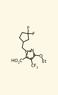 CCOc1nn(CC2CCC(F)(F)C2)c(C(=O)O)c1C(F)(F)F